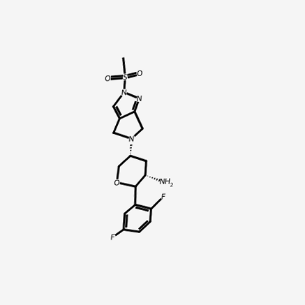 CS(=O)(=O)n1cc2c(n1)CN([C@H]1COC(c3cc(F)ccc3F)[C@@H](N)C1)C2